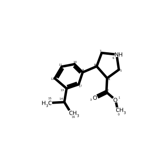 COC(=O)C1CNCC1c1cccc(C(C)C)c1